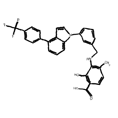 Cc1ccc(C(=O)O)c(O)c1NCc1cccc(-n2ccc3c(-c4ccc(C(F)(F)F)cc4)cccc32)c1